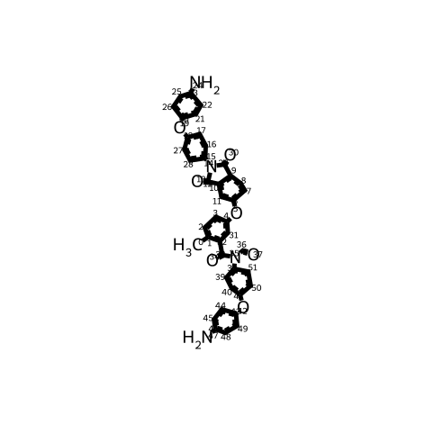 Cc1ccc(Oc2ccc3c(c2)C(=O)N(c2ccc(Oc4ccc(N)cc4)cc2)C3=O)cc1C(=O)N(C=O)c1ccc(Oc2ccc(N)cc2)cc1